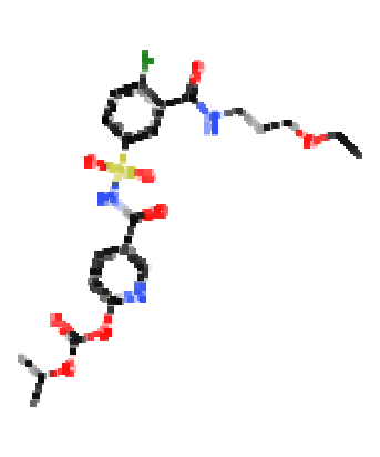 CCOCCCNC(=O)c1cc(S(=O)(=O)NC(=O)c2ccc(OC(=O)OC(C)C)nc2)ccc1Cl